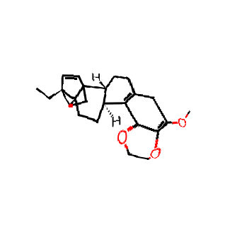 CC[C@]12C=CC3(CC1)[C@@H]1CCC4=C(C5OCCOC5=C(OC)C4)[C@H]1CC[C@@]32C